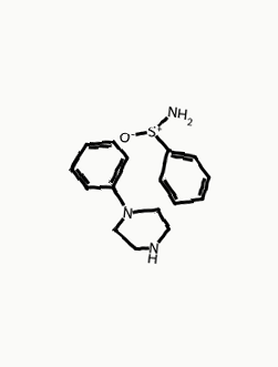 N[S+]([O-])c1ccccc1.c1ccc(N2CCNCC2)cc1